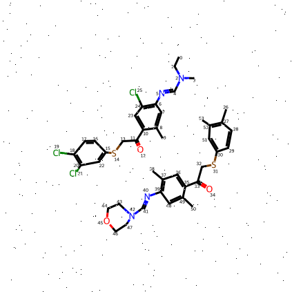 CCN(C)C=Nc1cc(C)c(C(=O)CSc2ccc(Cl)c(Cl)c2)cc1Cl.Cc1ccc(SCC(=O)c2cc(C)c(N=CN3CCOCC3)cc2C)cc1C